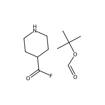 CC(C)(C)OC=O.O=C(F)C1CCNCC1